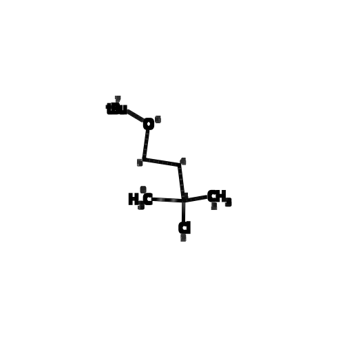 CC(C)(Cl)CCOC(C)(C)C